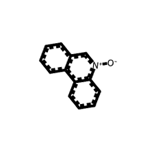 [O-][n+]1cc2ccccc2c2ccccc21